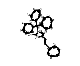 Fc1nc(/C=C/c2ccccc2)cn1C(c1ccccc1)(c1ccccc1)c1ccccc1